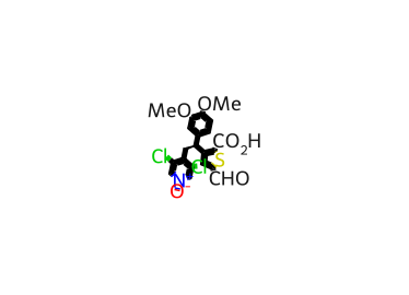 COc1ccc([C@H](Cc2c(Cl)c[n+]([O-])cc2Cl)c2cc(C=O)sc2C(=O)O)cc1OC